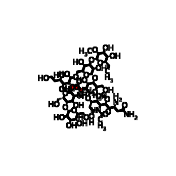 CC[C@H]1O[C@H](OC2[C@H](O)C(CO[C@@H](O)C(O[C@@H]3O[C@@H](CO)[C@@H](O[C@@H]4OC(CO)[C@H](O)[C@H](O)C4O)C(O)C3NC(C)=O)[C@@H](O)[C@H](O)CCO)O[C@@H](O[C@@H]3C(CO)O[C@@H](O[C@H](CCO)[C@H](O)C(NC(C)=O)[C@@H](OC)C(=O)[C@@H](N)CC(N)=O)C(NC(C)=O)[C@H]3O)[C@@H]2O)C(OC)C(O)[C@@H]1O